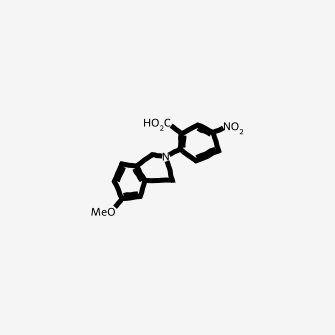 COc1ccc2c(c1)CN(c1ccc([N+](=O)[O-])cc1C(=O)O)C2